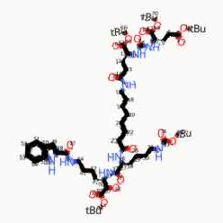 CC(C)(C)OC(=O)CC[C@H](NC(=O)N[C@@H](CCC(=O)NCCCCCCCC(=O)N[C@@H](CCCCNC(=O)OC(C)(C)C)C(=O)N[C@@H](CCCCNC(=O)c1cc2ccccc2[nH]1)C(=O)C(=O)OC(C)(C)C)C(=O)OC(C)(C)C)C(=O)OC(C)(C)C